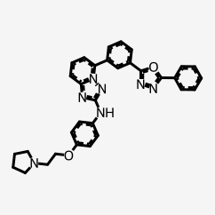 c1ccc(-c2nnc(-c3cccc(-c4cccc5nc(Nc6ccc(OCCN7CCCC7)cc6)nn45)c3)o2)cc1